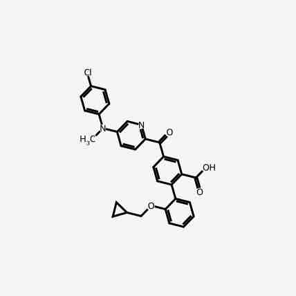 CN(c1ccc(Cl)cc1)c1ccc(C(=O)c2ccc(-c3ccccc3OCC3CC3)c(C(=O)O)c2)nc1